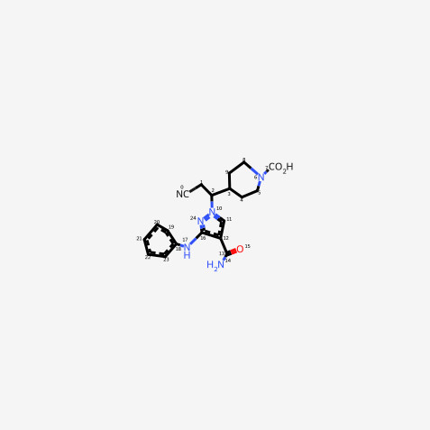 N#CCC(C1CCN(C(=O)O)CC1)n1cc(C(N)=O)c(Nc2ccccc2)n1